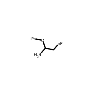 BC(CCCC)OC(C)C